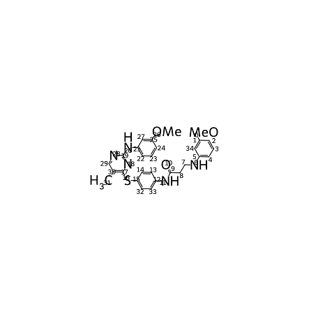 COc1cccc(NCCC(=O)Nc2ccc(Sc3nc(Nc4cccc(OC)c4)ncc3C)cc2)c1